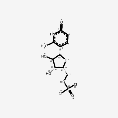 Cc1[nH]c(=O)ccc1[C@@H]1O[C@H](COP(=O)(Cl)Cl)[C@H](O)C1O